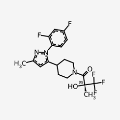 Cc1cc(C2CCN(C(=O)[C@@](C)(O)C(F)(F)F)CC2)n(-c2ccc(F)cc2F)n1